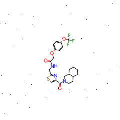 O=C(COc1ccc(OC(F)(F)F)cc1)NCc1nc(C(=O)N2CCC3CCCCC3C2)cs1